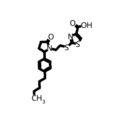 CCCCCc1ccc(C2CCC(=O)N2CCSc2nc(C(=O)O)cs2)cc1